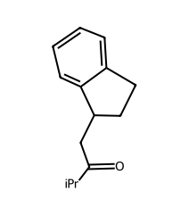 CC(C)C(=O)CC1CCc2ccccc21